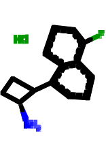 Cl.N[C@H]1CCC1c1cccc2c(F)cccc12